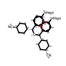 CCCCCCCc1ccc(C(OC(c2ccc(CCCCCCC)cc2)[C@H]2CC[C@H](C#N)CC2)[C@H]2CC[C@H](C#N)CC2)cc1